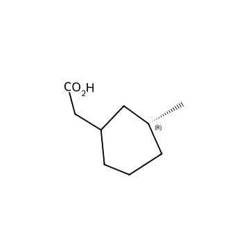 C[C@@H]1CCCC(CC(=O)O)C1